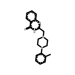 Cc1ccccc1N1CCN(Cc2nc3ccccc3c(=O)[nH]2)CC1